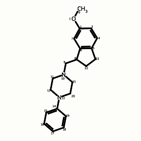 COc1ccc2c(c1)C(CN1CCN(c3ccccc3)CC1)CC2